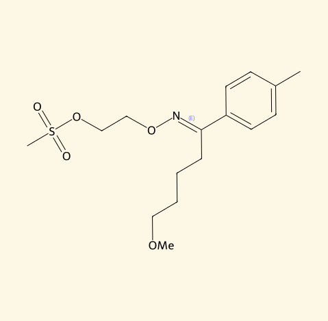 COCCCC/C(=N\OCCOS(C)(=O)=O)c1ccc(C)cc1